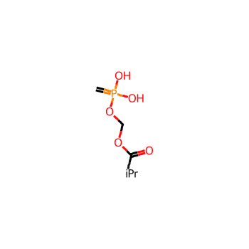 C=P(O)(O)OCOC(=O)C(C)C